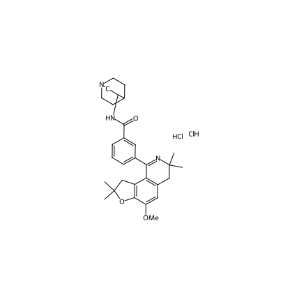 COc1cc2c(c3c1OC(C)(C)C3)C(c1cccc(C(=O)NC3CN4CCC3CC4)c1)=NC(C)(C)C2.Cl.Cl